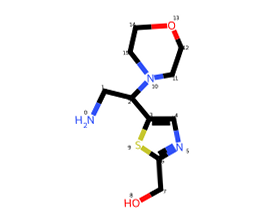 NCC(c1cnc(CO)s1)N1CCOCC1